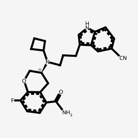 N#Cc1ccc2[nH]cc(CCCN(C3CCC3)[C@@H]3COc4c(F)ccc(C(N)=O)c4C3)c2c1